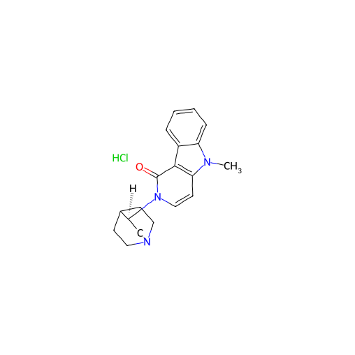 Cl.Cn1c2ccccc2c2c(=O)n([C@H]3CN4CCC3CC4)ccc21